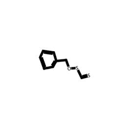 S=[C]SOCc1ccccc1